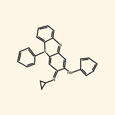 c1ccc(Nc2cc3nc4ccccc4n(-c4ccccc4)c-3c/c2=N\C2CC2)cc1